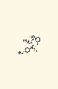 CC(C)(C)OC(=O)[C@@H]1[C@H](Cc2cccc(O)c2)C(=O)N1c1ccc(C(C)(C)C)cc1